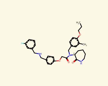 CCCOc1ccc(CN(C(=O)COc2ccc(CNCc3cccc(F)c3)cc2)[C@H]2CCCCNC2=O)cc1C